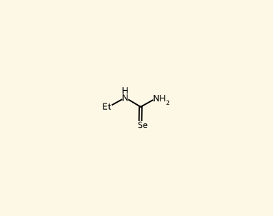 CCNC(N)=[Se]